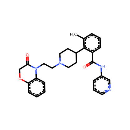 Cc1cccc(C(=O)Nc2cccnc2)c1C1CCN(CCN2C(=O)COc3ccccc32)CC1